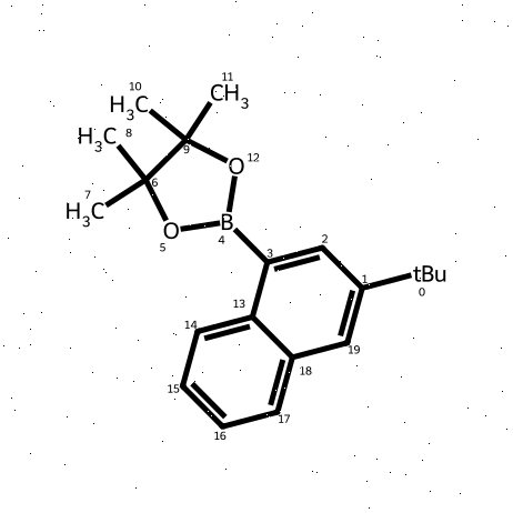 CC(C)(C)c1cc(B2OC(C)(C)C(C)(C)O2)c2ccccc2c1